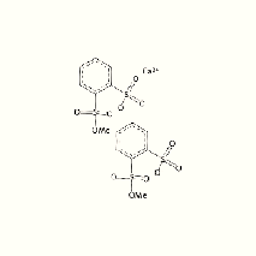 COS(=O)(=O)c1ccccc1S(=O)(=O)[O-].COS(=O)(=O)c1ccccc1S(=O)(=O)[O-].[Ca+2]